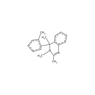 CC1=Nc2ccccc2C(C)(c2ccccc2C)N1C